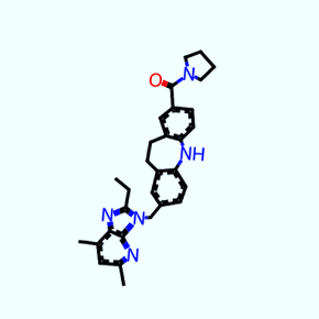 CCc1nc2c(C)cc(C)nc2n1Cc1ccc2c(c1)CCc1cc(C(=O)N3CCCC3)ccc1N2